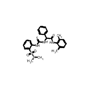 Cc1cccc(C)c1NC(=O)C(NC(=S)Nc1ccccc1S(=O)(=O)N(C)C)c1ccccc1